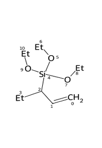 C=CC(CC)[Si](OCC)(OCC)OCC